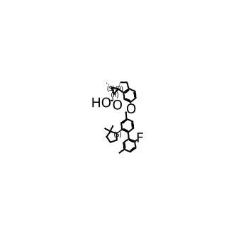 Cc1ccc(F)c(-c2ccc(COc3ccc4c(c3)[C@@]3(CC4)[C@H](C(=O)O)[C@@H]3C)cc2[C@H]2CCCC2(C)C)c1